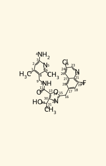 Cc1cc(N)nc(C)c1CNC(=O)c1oc(Cc2cc(F)c3ncc(Cl)cc3c2)nc1C(C)O